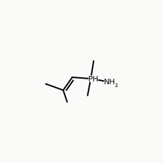 CC(C)=C[PH](C)(C)N